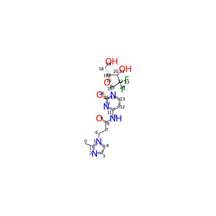 Cc1nccn1CCC(=O)Nc1ccn([C@@H]2O[C@H](CO)C(O)C2(F)F)c(=O)n1